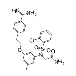 Cc1cc(OCCc2ccc(C(=N)N)cc2)cc(N(CC(N)=O)S(=O)(=O)c2ccccc2Cl)c1